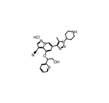 Cc1c(-c2cc(OC(CO)c3ccccn3)c3c(C#N)cnn3c2)nnn1C1CCNCC1.Cl